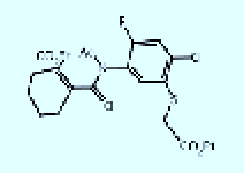 CCOC(=O)CSc1cc(N(C(C)=O)C(=O)C2=C(C(=O)OCC)CCCC2)c(F)cc1Cl